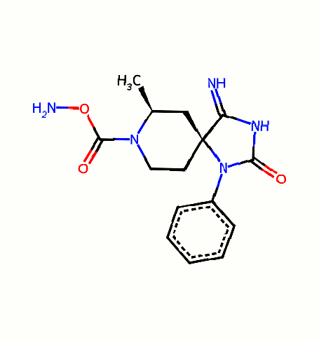 C[C@H]1C[C@@]2(CCN1C(=O)ON)C(=N)NC(=O)N2c1ccccc1